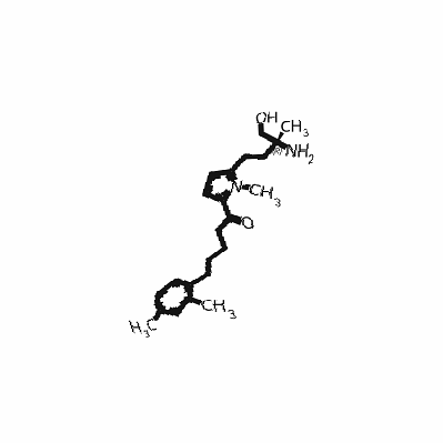 Cc1ccc(CCCCC(=O)c2ccc(CC[C@@](C)(N)CO)n2C)c(C)c1